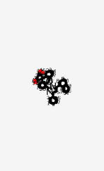 c1ccc(-c2cc(-c3cccc4ccccc34)nc(-c3cccc4c3Oc3ccccc3C43c4ccccc4-c4ccccc43)n2)cc1